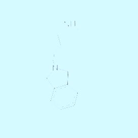 NCCON1Cc2ccccc2C1